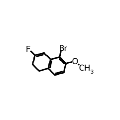 COc1ccc2c(c1Br)C=C(F)CC2